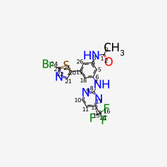 CC(=O)Nc1cc(Nc2nccc(C(F)(F)F)n2)cc(-c2cnc(Br)s2)c1